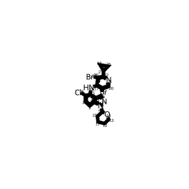 Clc1ccc2c(cnn2C2CCCCO2)c1Nc1c(Br)cnc(C2CC2)c1Br